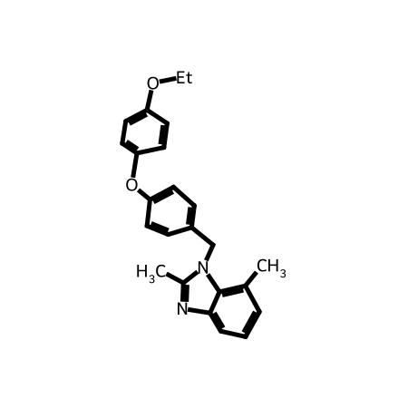 CCOc1ccc(Oc2ccc(Cn3c(C)nc4cccc(C)c43)cc2)cc1